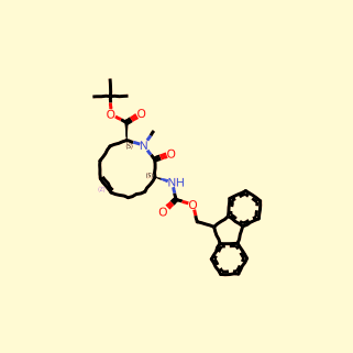 CN1C(=O)[C@@H](NC(=O)OCC2c3ccccc3-c3ccccc32)CC/C=C\CC[C@H]1C(=O)OC(C)(C)C